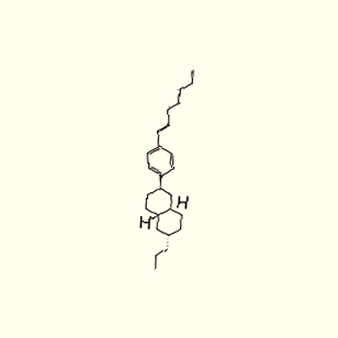 CCCCCCCc1ccc([C@@H]2CC[C@H]3C[C@@H](CCC)CC[C@@H]3C2)cc1